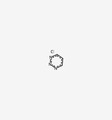 [C].c1cnnnc1